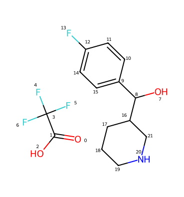 O=C(O)C(F)(F)F.OC(c1ccc(F)cc1)C1CCCNC1